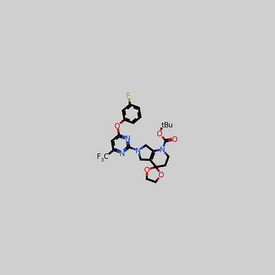 CC(C)(C)OC(=O)N1CCC2(OCCO2)C2=C1CN(c1nc(Oc3cccc(F)c3)cc(C(F)(F)F)n1)C2